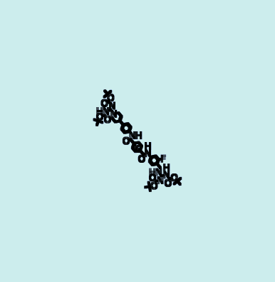 CC(C)(C)OC(=O)/N=C(\NCc1ccc(NC(=O)C23CCC(C(=O)Nc4ccc(C5=CCN(/C(=N/C(=O)OC(C)(C)C)NC(=O)OC(C)(C)C)CC5)cc4)(CC2)CC3)cc1F)NC(=O)OC(C)(C)C